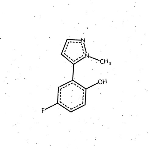 Cn1nccc1-c1cc(F)ccc1O